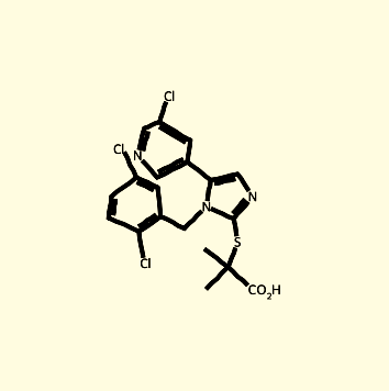 CC(C)(Sc1ncc(-c2cncc(Cl)c2)n1Cc1cc(Cl)ccc1Cl)C(=O)O